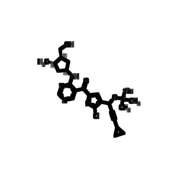 C[C@H]1C[C@H](Nc2ncncc2C(=O)c2cc(C(C#CC3CC3)O[Si](C)(C)C(C)(C)C)c(Cl)s2)C[C@@H]1CO